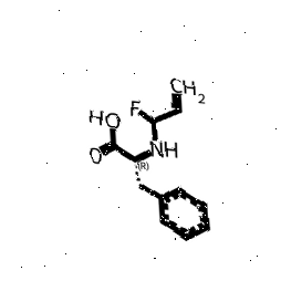 C=CC(F)N[C@H](Cc1ccccc1)C(=O)O